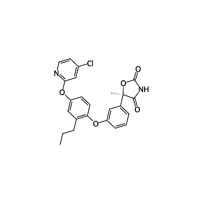 CCCc1cc(Oc2cc(Cl)ccn2)ccc1Oc1cccc([C@@]2(C)OC(=O)NC2=O)c1